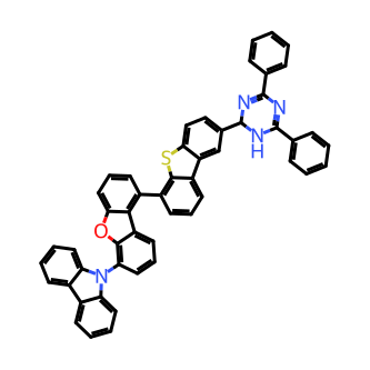 c1ccc(C2=NC(c3ccc4sc5c(-c6cccc7oc8c(-n9c%10ccccc%10c%10ccccc%109)cccc8c67)cccc5c4c3)NC(c3ccccc3)=N2)cc1